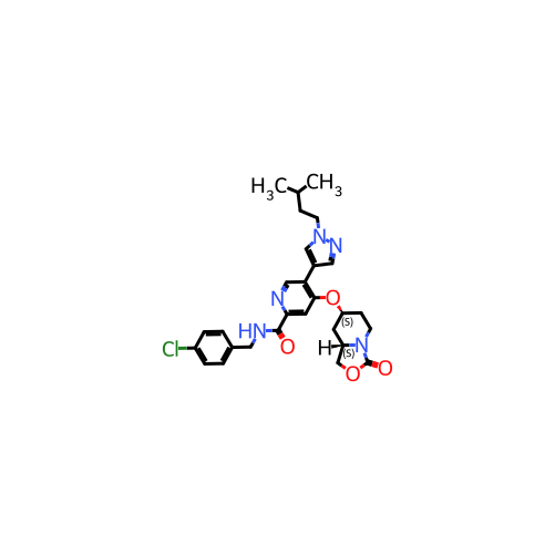 CC(C)CCn1cc(-c2cnc(C(=O)NCc3ccc(Cl)cc3)cc2O[C@H]2CCN3C(=O)OC[C@@H]3C2)cn1